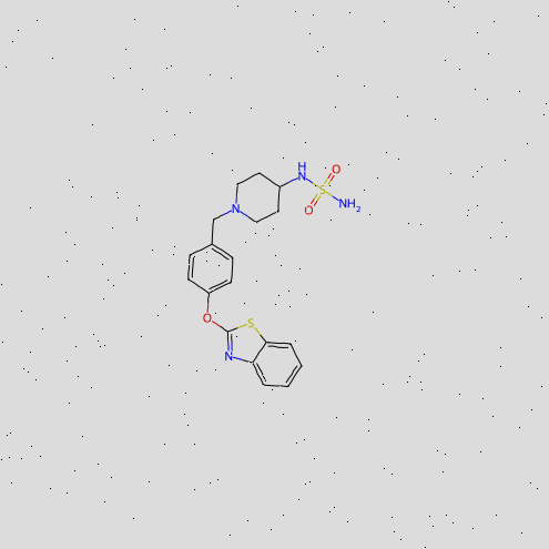 NS(=O)(=O)NC1CCN(Cc2ccc(Oc3nc4ccccc4s3)cc2)CC1